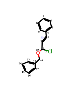 ClC(/C=C/c1ccccc1)OCc1ccccc1